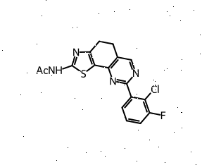 CC(=O)Nc1nc2c(s1)-c1nc(-c3cccc(F)c3Cl)ncc1CC2